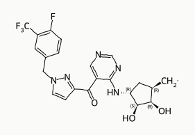 [CH2][C@@H]1C[C@@H](Nc2ncncc2C(=O)c2ccn(Cc3ccc(F)c(C(F)(F)F)c3)n2)[C@H](O)[C@@H]1O